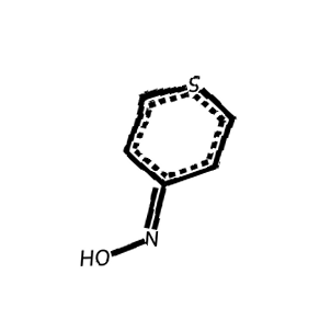 ON=c1ccscc1